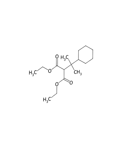 CCOC(=O)C(C(=O)OCC)C(C)(C)C1CCCCC1